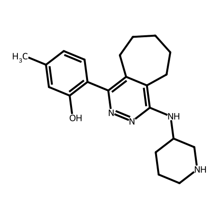 Cc1ccc(-c2nnc(NC3CCCNC3)c3c2CCCCC3)c(O)c1